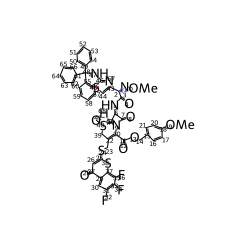 CO/N=C(\C(=O)NC1C(=O)N2C(C(=O)OCc3ccc(OC)cc3)=C(CSc3cc(=O)c4cc(F)c(F)c(F)c4s3)C[S+]([O-])[C@@H]12)c1csc(NC(c2ccccc2)(c2ccccc2)c2ccccc2)n1